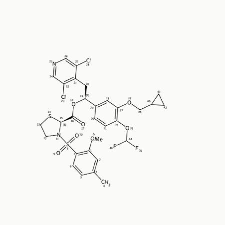 COc1cc(C)ccc1S(=O)(=O)N1CCS[C@H]1C(=O)O[C@@H](Cc1c(Cl)cncc1Cl)c1ccc(OC(F)F)c(OCC2CC2)c1